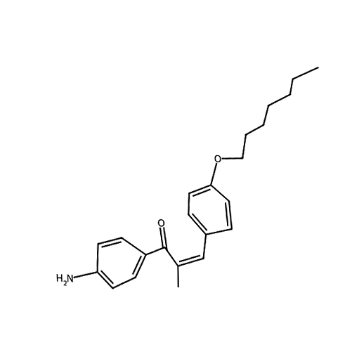 CCCCCCCOc1ccc(C=C(C)C(=O)c2ccc(N)cc2)cc1